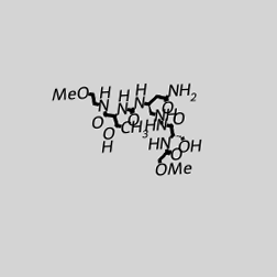 COCCNC(=O)[C@@H](NC(=O)N[C@H](CNNC(=O)[C@H](CO)NC(=O)COC)CC(N)=O)C(C)O